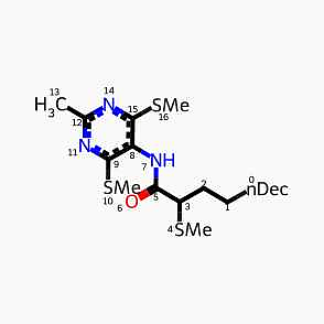 CCCCCCCCCCCCC(SC)C(=O)Nc1c(SC)nc(C)nc1SC